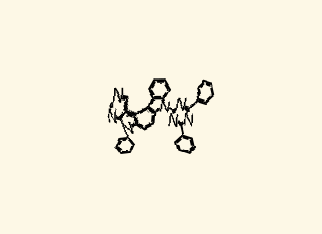 c1ccc(-c2nc(-c3ccccc3)nc(-n3c4ccccc4c4c5c6cncnc6n(-c6ccccc6)c5ccc43)n2)cc1